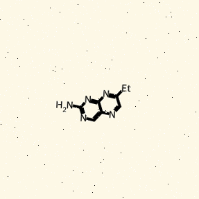 CCc1cnc2cnc(N)nc2n1